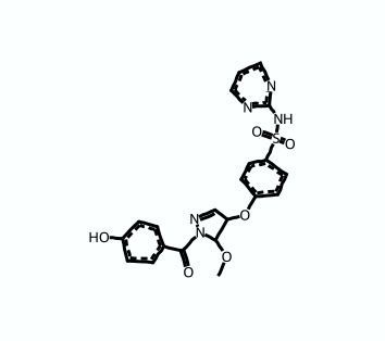 COC1C(Oc2ccc(S(=O)(=O)Nc3ncccn3)cc2)C=NN1C(=O)c1ccc(O)cc1